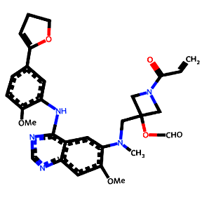 C=CC(=O)N1CC(CN(C)c2cc3c(Nc4cc(C5=CCCO5)ccc4OC)ncnc3cc2OC)(OC=O)C1